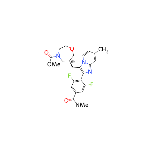 CNC(=O)c1cc(F)c(-c2nc3cc(C)ccn3c2C[C@@H]2COCCN(C(=O)OC)C2)c(F)c1